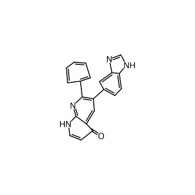 O=c1cc[nH]c2nc(-c3ccccc3)c(-c3ccc4[nH]cnc4c3)cc12